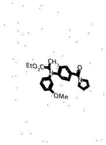 CCOC(=O)C(C)N(c1ccc(C(=O)N2CCCC2)cc1)c1cccc(OC)c1